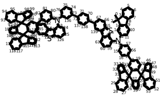 CC1(C)c2ccccc2-c2ccc(N(c3ccc(-c4ccc5c(c4)C4(c6ccccc6-c6ccccc64)c4ccccc4C54c5ccccc5-c5ccccc54)cc3)c3cccc4c3sc3ccc(-c5ccc(-c6cccc(N(c7cccc(-c8ccc9c(c8)C8(c%10ccccc%10-c%10ccccc%108)c8ccccc8C98c9ccccc9-c9ccccc98)c7)c7cccc8sc9ccccc9c78)c6)cc5)cc34)cc21